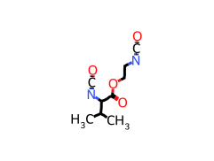 CC(C)C(N=C=O)C(=O)OCCN=C=O